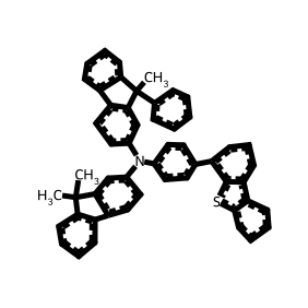 CC1(C)c2ccccc2-c2ccc(N(c3ccc(-c4cccc5c4sc4ccccc45)cc3)c3ccc4c(c3)C(C)(c3ccccc3)c3ccccc3-4)cc21